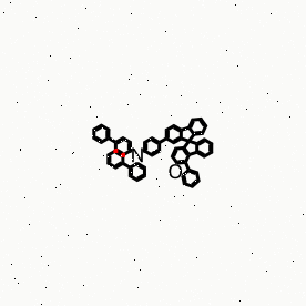 c1ccc(-c2ccc(N(c3ccc(-c4ccc5c(c4)C4(c6ccccc6-5)c5ccccc5-c5c4ccc4oc6ccccc6c54)cc3)c3ccccc3-c3ccccc3)cc2)cc1